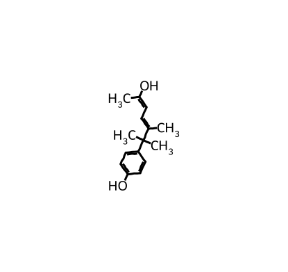 C/C(O)=C\C=C(/C)C(C)(C)c1ccc(O)cc1